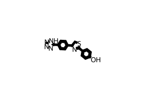 Oc1ccc(C2=NC(c3ccc(-c4nnn[nH]4)cc3)CS2)cc1